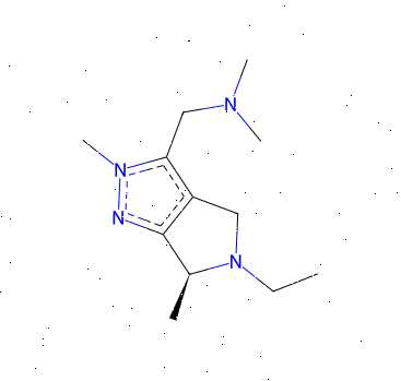 CCN1Cc2c(nn(C)c2CN(C)C)[C@@H]1C